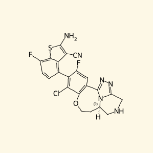 N#Cc1c(N)sc2c(F)ccc(-c3c(F)cc4c(c3Cl)OCC[C@@H]3CNCc5nnc-4n53)c12